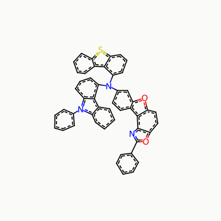 c1ccc(-c2nc3c(ccc4oc5cc(N(c6cccc7sc8ccccc8c67)c6cccc7c6c6ccccc6n7-c6ccccc6)ccc5c43)o2)cc1